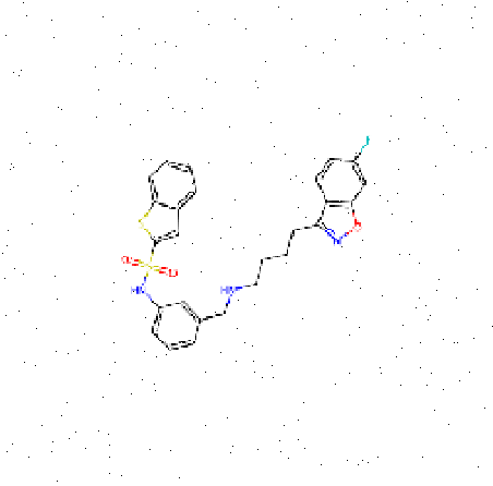 O=S(=O)(Nc1cccc(CNCCCCc2noc3cc(F)ccc23)c1)c1cc2ccccc2s1